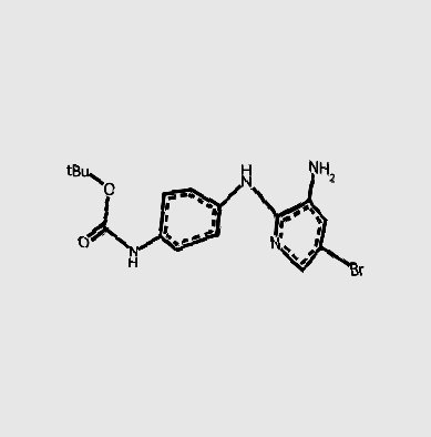 CC(C)(C)OC(=O)Nc1ccc(Nc2ncc(Br)cc2N)cc1